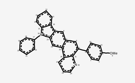 COc1ccc(-c2cc3cc4c5ccccc5n(-c5ccccc5)c4cc3c3cccnc23)cc1